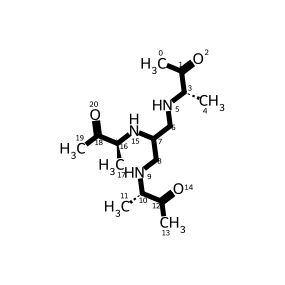 CC(=O)[C@H](C)NCC(CN[C@@H](C)C(C)=O)N[C@@H](C)C(C)=O